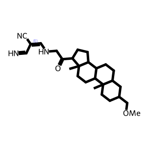 COCC1CCC2(C)C(CCC3C2CCC2(C)C(C(=O)CN/C=C(/C#N)C=N)CCC32)C1